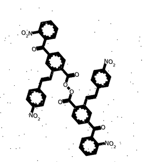 O=C(OOC(=O)c1ccc(C(=O)c2ccccc2[N+](=O)[O-])cc1/C=C/c1ccc([N+](=O)[O-])cc1)c1ccc(C(=O)c2ccccc2[N+](=O)[O-])cc1/C=C/c1ccc([N+](=O)[O-])cc1